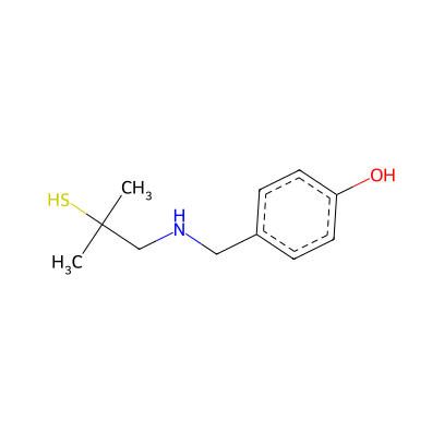 CC(C)(S)CNCc1ccc(O)cc1